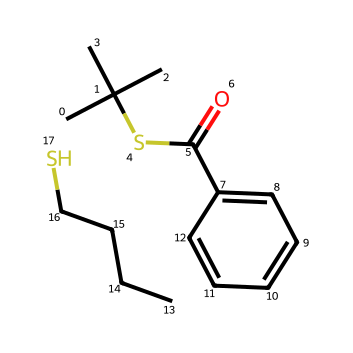 CC(C)(C)SC(=O)c1ccccc1.CCCCS